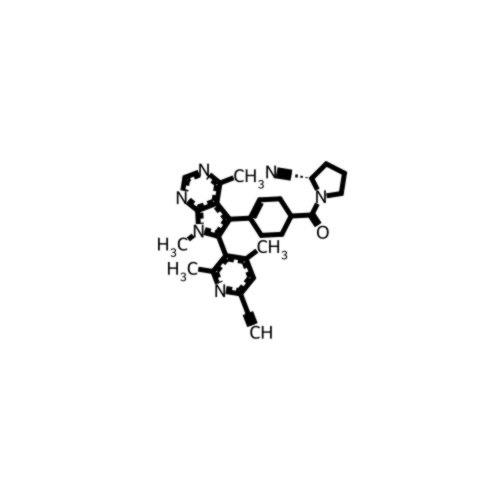 C#Cc1cc(C)c(-c2c(C3=CCC(C(=O)N4CCC[C@H]4C#N)CC3)c3c(C)ncnc3n2C)c(C)n1